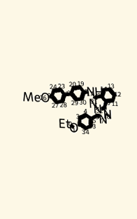 CCOc1ccc(-c2nnc3c4ccccc4c(Nc4ccc(-c5ccc(OC)cc5)cc4)nn23)cc1